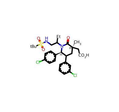 CCC(CNS(=O)(=O)C(C)(C)C)N1C(=O)[C@@](C)(CC(=O)O)CC(c2cccc(Cl)c2)[C@H]1c1ccc(Cl)cc1